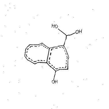 Oc1ccc(C(O)O)c2ccccc12